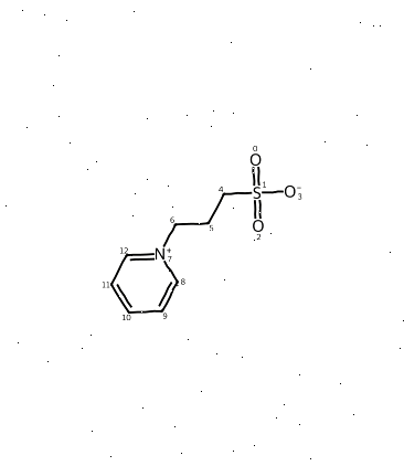 O=S(=O)([O-])CCC[n+]1[c]cccc1